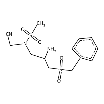 CS(=O)(=O)N(CC#N)CC(N)CS(=O)(=O)Cc1ccccc1